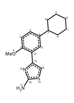 COc1ccc(C2CCCCC2)cc1-c1csc(N)n1